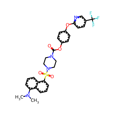 CN(C)c1cccc2c(S(=O)(=O)N3CCN(C(=O)Oc4ccc(Oc5ccc(C(F)(F)F)cn5)cc4)CC3)cccc12